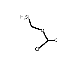 [SiH3]COC(Cl)Cl